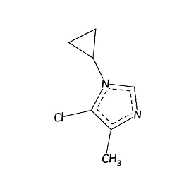 Cc1ncn(C2CC2)c1Cl